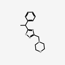 CC(c1ccccc1)c1nc(CN2CCOCC2)no1